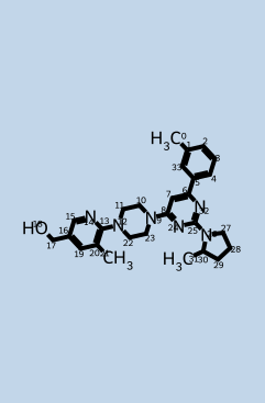 Cc1cccc(-c2cc(N3CCN(c4ncc(CO)cc4C)CC3)nc(N3CCCC3C)n2)c1